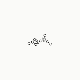 c1ccc(-c2ccc(-c3cc(-c4ccccc4)nc(-c4ccc(-c5nc6cccc(-c7cccc(-c8ccccc8)c7)c6c6c5sc5ccccc56)cc4)n3)cc2)cc1